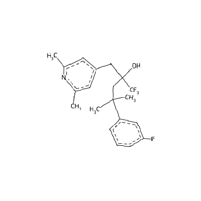 Cc1cc(CC(O)(CC(C)(C)c2cccc(F)c2)C(F)(F)F)cc(C)n1